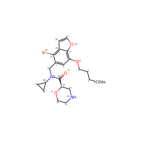 COCCCOc1cc(CN(C(=O)[C@H]2CNCCO2)C2CC2)c(Br)c2ccoc12